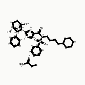 CCC(N)=O.O=C(c1coc([C@@H]2[C@H](c3ccccc3)[C@H]3CC[C@H]2O3)n1)N(CCCCC1CCCCC1)S(=O)(=O)c1ccccc1